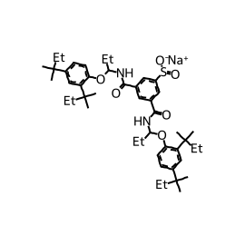 CCC(NC(=O)c1cc(C(=O)NC(CC)Oc2ccc(C(C)(C)CC)cc2C(C)(C)CC)cc(S(=O)[O-])c1)Oc1ccc(C(C)(C)CC)cc1C(C)(C)CC.[Na+]